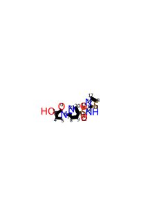 O=C1[C@@H](O)CCN1c1ccc(S(=O)(=O)Nc2nccs2)cn1